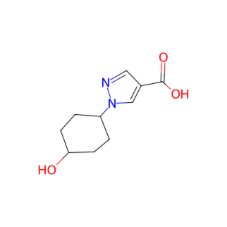 O=C(O)c1cnn(C2CCC(O)CC2)c1